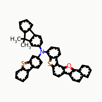 CC1(C)c2ccccc2-c2ccc(N(c3ccc4c(c3)sc3ccccc34)c3cccc4c3sc3ccc5c6ccc7ccccc7c6oc5c34)cc21